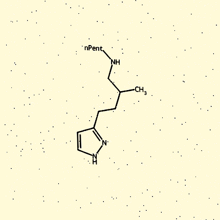 CCCCCNCC(C)CCc1cc[nH]n1